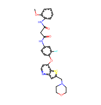 COc1ccccc1NC(=O)CC(=O)Nc1ccc(Oc2ccnc3cc(CN4CCOCC4)sc23)c(F)c1